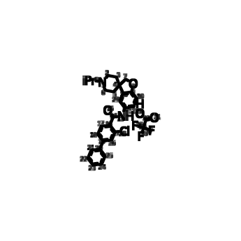 CC(C)N1CCC2(CC1)COc1ccc(NC(=O)c3ccc(-c4ccccc4)cc3Cl)cc12.O=C(O)C(F)(F)F